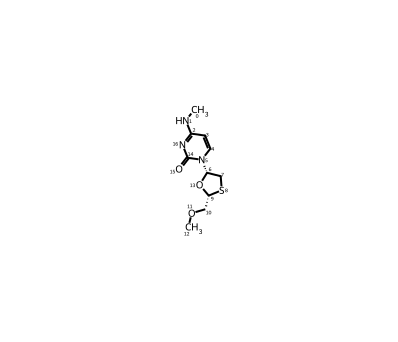 CNc1ccn([C@@H]2CS[C@H](COC)O2)c(=O)n1